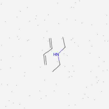 C=CC=C.CCNCC